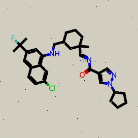 CC1(/C=N/C(=O)c2cnn(C3CCCC3)c2)CCCC(CNc2cc(C(C)(C)F)cc3ccc(Cl)cc23)C1